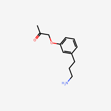 CC(=O)COc1cccc(CCCN)c1